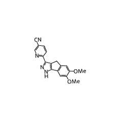 COc1cc2c(cc1OC)-c1[nH]nc(-c3ccc(C#N)cn3)c1C2